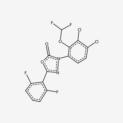 O=c1oc(-c2c(F)cccc2F)nn1-c1ccc(Cl)c(Cl)c1OC(F)F